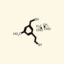 CC=O.CC=O.O=C(O)c1cc(CS)cc(CCS)c1